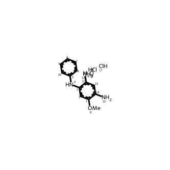 COc1cc(Nc2ccccc2)c(N)cc1N.Cl.Cl.O